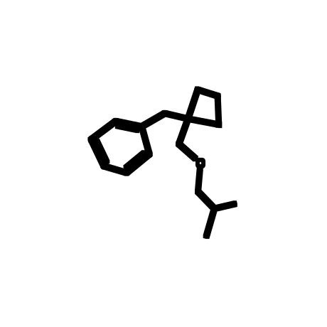 CC(C)COCC1(Cc2ccccc2)CCC1